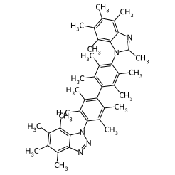 Cc1c(C)c(-n2nnc3c(C)c(C)c(C)c(C)c32)c(C)c(C)c1-c1c(C)c(C)c(-n2c(C)nc3c(C)c(C)c(C)c(C)c32)c(C)c1C